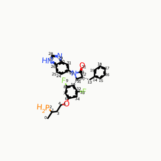 CC(P)CCOc1cc(F)c([C@H]2[C@@H](Cc3ccccc3)C(=O)N2c2ccc3[nH]cnc3c2)c(F)c1